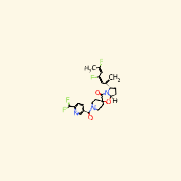 C=C(/C=C(F)\C=C(/C)F)[C@@H]1CC[C@H]2OC3(CCN(C(=O)c4ccc(C(F)F)nc4)CC3)C(=O)N21